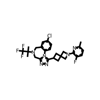 Cc1ccc(F)c(N2CC3(CC(c4nnc5n4-c4ccc(Cl)cc4CN(C(C)(C)C(F)(F)F)C5)C3)C2)n1